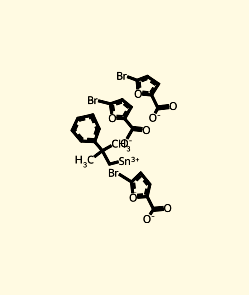 CC(C)([CH2][Sn+3])c1ccccc1.O=C([O-])c1ccc(Br)o1.O=C([O-])c1ccc(Br)o1.O=C([O-])c1ccc(Br)o1